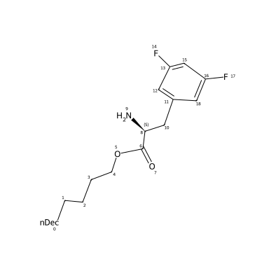 CCCCCCCCCCCCCCOC(=O)[C@@H](N)Cc1cc(F)cc(F)c1